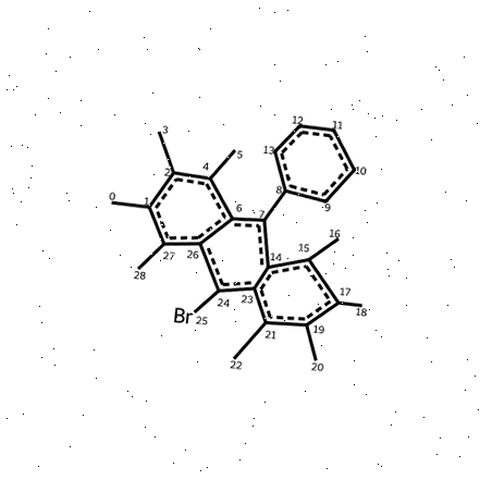 Cc1c(C)c(C)c2c(-c3ccccc3)c3c(C)c(C)c(C)c(C)c3c(Br)c2c1C